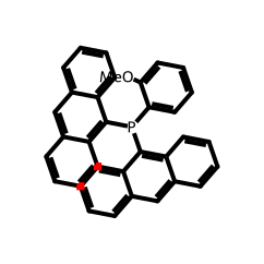 COc1ccccc1P(c1c2ccccc2cc2ccccc12)c1c2ccccc2cc2ccccc12